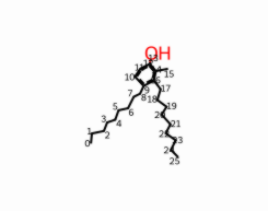 CCCCCCCCCc1ccc(O)c(C)c1CCCCCCCCC